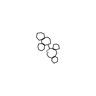 [CH]1C2=C(CCCC2)CCCC(C2CCCC3=C(CCCCC3)C3=C2CCCCC3)C2=C1CCCC2